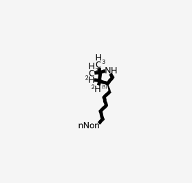 [2H]C1([2H])[C@H](CCCCCCCCCCCCCC)CNC1(C)C